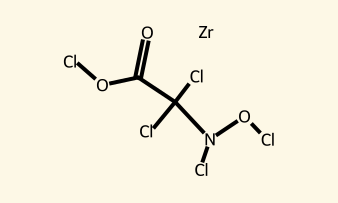 O=C(OCl)C(Cl)(Cl)N(Cl)OCl.[Zr]